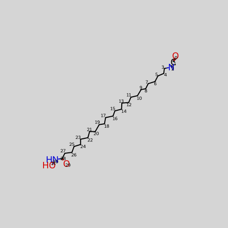 O=C=NCCCCCCCCCCCCCCCCCCCCCCCCCC(=O)NO